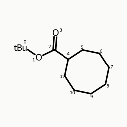 CC(C)(C)OC(=O)C1CCCCCCC1